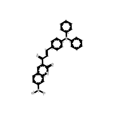 CCN(CC)c1ccc2cc(C(=O)C=Cc3ccc(N(c4ccccc4)c4ccccc4)cc3)c(=O)oc2c1